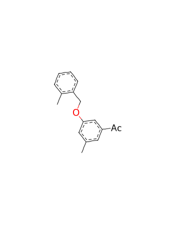 CC(=O)c1cc(C)cc(OCc2ccccc2C)c1